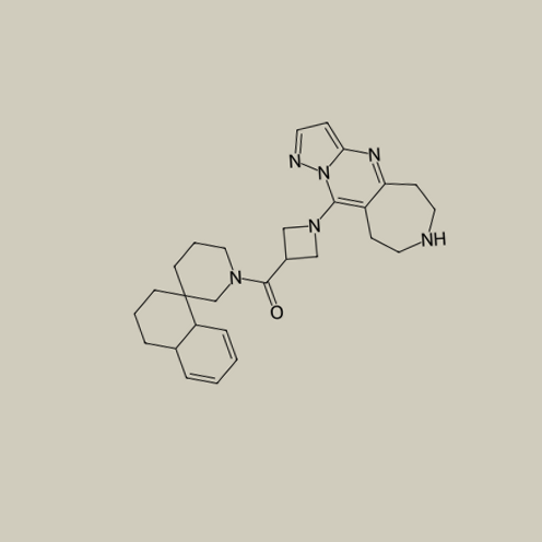 O=C(C1CN(c2c3c(nc4ccnn24)CCNCC3)C1)N1CCCC2(CCCC3C=CC=CC32)C1